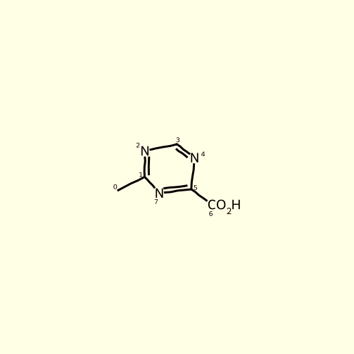 Cc1ncnc(C(=O)O)n1